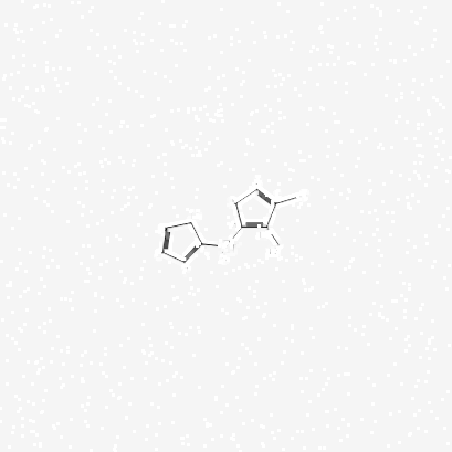 CC1=CC[C]([Zr][C]2=CC=CC2)=C1C